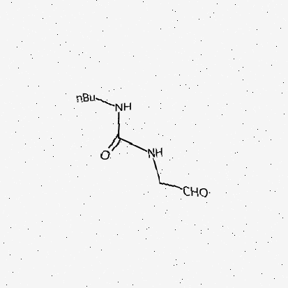 CCCCNC(=O)NC[C]=O